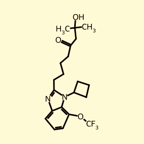 CC(C)(O)CC(=O)CCCCc1nc2cccc(OC(F)(F)F)c2n1C1CCC1